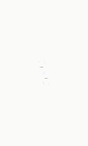 C(=C\c1cccc(OCC2CO2)c1)/c1cccc(OCC2CO2)c1